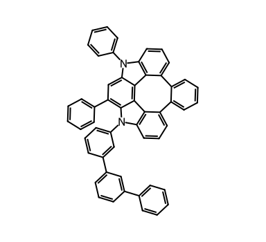 c1ccc(-c2cccc(-c3cccc(-n4c5cccc6c7ccccc7c7cccc8c7c7c(c65)c4c(-c4ccccc4)cc7n8-c4ccccc4)c3)c2)cc1